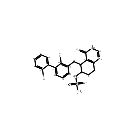 CS(=O)(=O)NC1CCc2nc[nH]c(=O)c2C1Cc1cccc(-c2ccccc2F)c1F